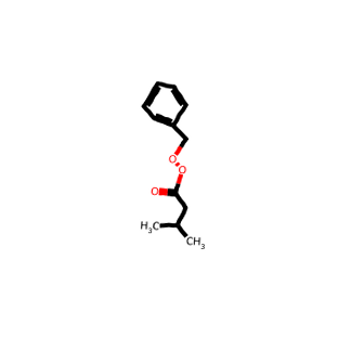 CC(C)CC(=O)OOCc1ccccc1